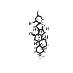 C[C@H]1CO[C@@]2(O[C@H]3C[C@H]4[C@@H]5CC[C@H]6C[C@@H](O)CC[C@]6(C)[C@H]5CC(=O)[C@]4(C)[C@H]3[C@@H]2C)C(Br)C1